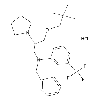 CC(C)(C)COCC(CN(Cc1ccccc1)c1cccc(C(F)(F)F)c1)N1CCCC1.Cl